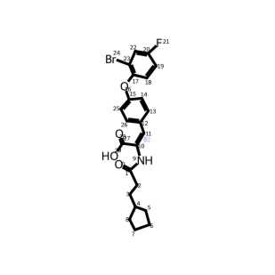 O=C(CCC1CCCC1)N/C(=C/c1ccc(Oc2ccc(F)cc2Br)cc1)C(=O)O